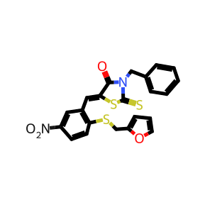 O=C1C(=Cc2cc([N+](=O)[O-])ccc2SCc2ccco2)SC(=S)N1Cc1ccccc1